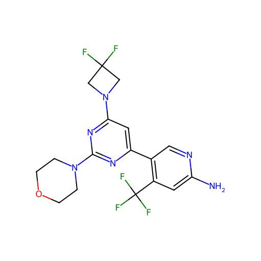 Nc1cc(C(F)(F)F)c(-c2cc(N3CC(F)(F)C3)nc(N3CCOCC3)n2)cn1